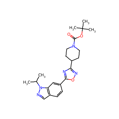 CC(C)n1ncc2ccc(-c3nc(C4CCN(C(=O)OC(C)(C)C)CC4)no3)cc21